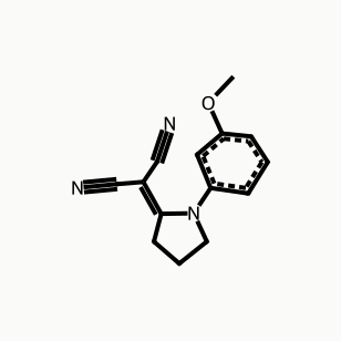 COc1cccc(N2CCCC2=C(C#N)C#N)c1